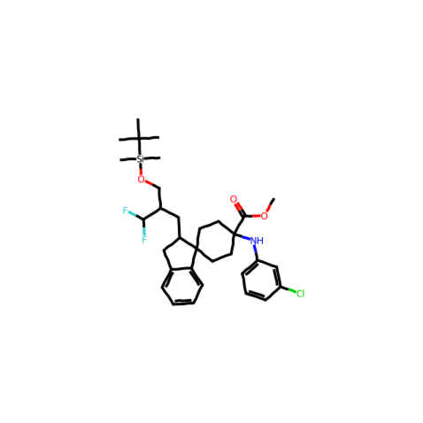 COC(=O)C1(Nc2cccc(Cl)c2)CCC2(CC1)c1ccccc1CC2CC(CO[Si](C)(C)C(C)(C)C)C(F)F